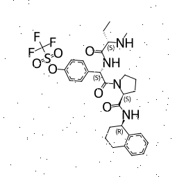 CC[C@H](NC)C(=O)N[C@H](C(=O)N1CCC[C@H]1C(=O)N[C@@H]1CCCc2ccccc21)c1ccc(OS(=O)(=O)C(F)(F)F)cc1